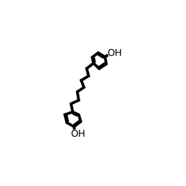 Oc1ccc(CCCCCCCc2ccc(O)cc2)cc1